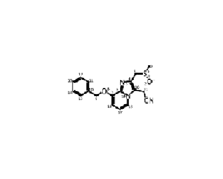 C[S+]([O-])Cc1nc2c(OCc3ccccc3)cccn2c1CC#N